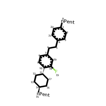 CCCCCc1ccc(CCc2ccc([C@H]3CC[C@H](CCCCC)CC3)c(F)c2)cc1